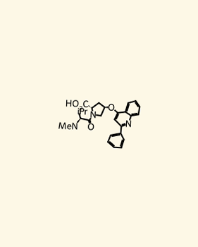 CN[C@H](C(=O)N1C[C@H](Oc2cc(-c3ccccc3)nc3ccccc23)C[C@H]1C(=O)O)C(C)C